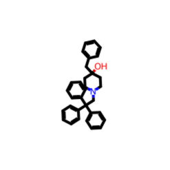 OC1(Cc2ccccc2)CCN(CC(c2ccccc2)(c2ccccc2)c2ccccc2)CC1